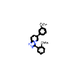 COc1cccc(-c2ccc3nnc(-c4ccccc4OC)n3c2)c1